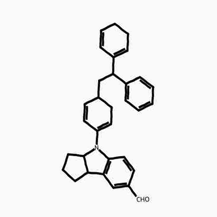 O=Cc1ccc2c(c1)C1CCCC1N2C1=CCC(CC(C2=CCCC=C2)c2ccccc2)C=C1